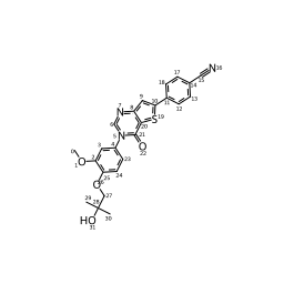 COc1cc(-n2cnc3cc(-c4ccc(C#N)cc4)sc3c2=O)ccc1OCC(C)(C)O